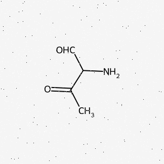 CC(=O)C(N)C=O